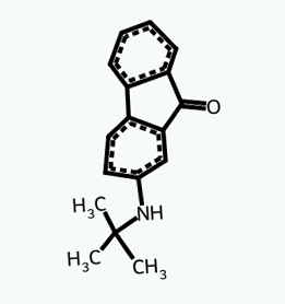 CC(C)(C)Nc1ccc2c(c1)C(=O)c1ccccc1-2